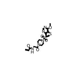 C=CC(=O)NCC(=O)N1CCN(S(=O)(=O)c2csc3c(OC)ncnc23)CC1